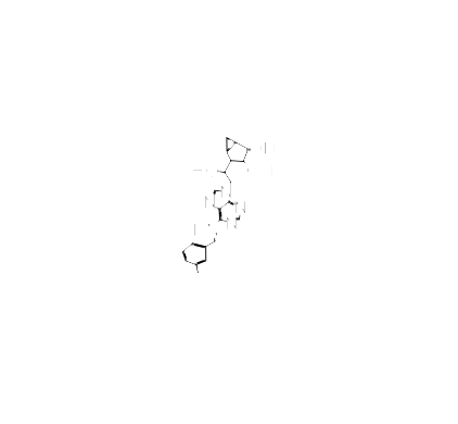 OC(Cn1cnc2c(NCc3cccc(I)c3)ncnc21)C1C(O)C(O)C2CC21